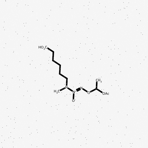 CC(=O)OC(C)ON=[N+]([O-])N(C)CCCCCC(=O)O